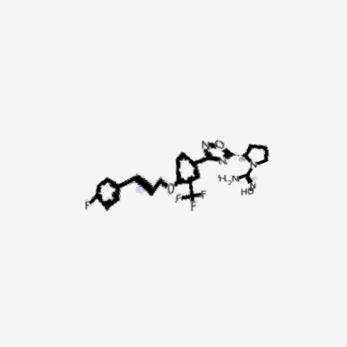 N/C(=N\O)N1CCC[C@H]1c1nc(-c2ccc(OC/C=C/c3ccc(F)cc3)c(C(F)(F)F)c2)no1